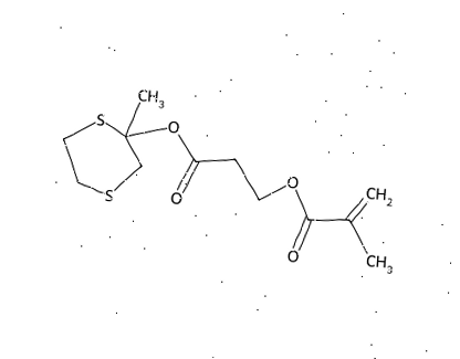 C=C(C)C(=O)OCCC(=O)OC1(C)CSCCS1